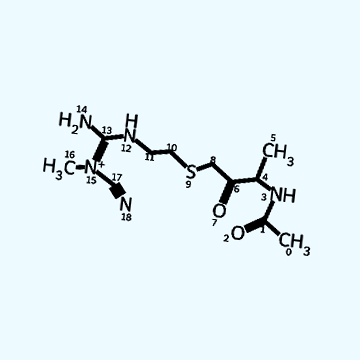 CC(=O)NC(C)C(=O)CSCCNC(N)=[N+](C)C#N